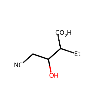 CCC(C(=O)O)C(O)CC#N